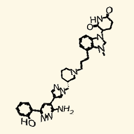 CN1CN(C2CCC(=O)NC2=O)c2cccc(CCCN3CCC[C@@H](Cn4cc(-c5cc(-c6ccccc6O)nnc5N)cn4)C3)c21